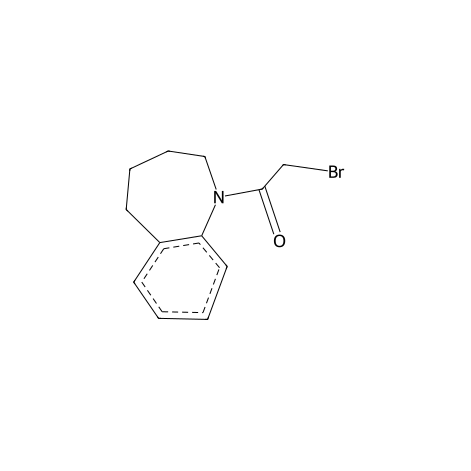 O=C(CBr)N1CCCCc2ccccc21